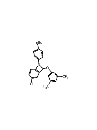 CCCCc1ccc(N2c3ccc(Cl)cc3C2Oc2cc(C(F)(F)F)cc(C(F)(F)F)c2)cc1